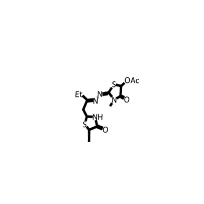 CCC(CC1NC(=O)C(C)S1)=NN=C1SC(OC(C)=O)C(=O)N1C